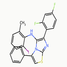 Cc1cccc(I)c1Nc1c(-c2ccc(F)cc2F)nc2scc(-c3ccccc3)n12